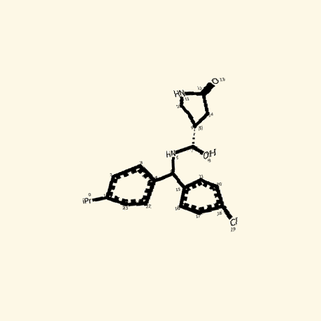 CC(C)c1ccc(C(NC(O)[C@@H]2CNC(=O)C2)c2ccc(Cl)cc2)cc1